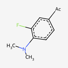 CC(=O)c1ccc(N(C)C)c(F)c1